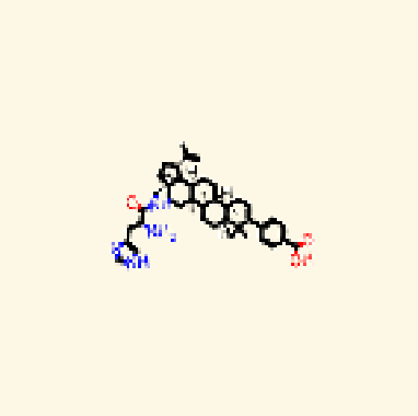 C=C(C)[C@@H]1CC[C@]2(CNC(=O)[C@@H](N)Cc3c[nH]cn3)CC[C@]3(C)[C@H](CC[C@@H]4[C@@]5(C)CC=C(c6ccc(C(=O)O)cc6)C(C)(C)[C@@H]5CC[C@]43C)[C@@H]12